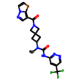 CN(C(=O)Nc1cc(C(F)(F)F)cnn1)C1CC2(C1)CN(C(=O)c1cnn3ccsc13)C2